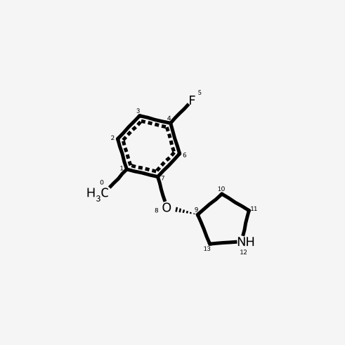 Cc1ccc(F)cc1O[C@@H]1CCNC1